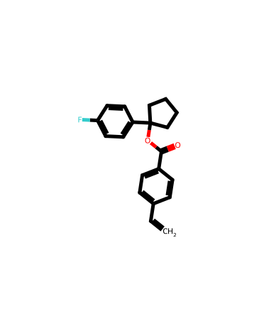 C=Cc1ccc(C(=O)OC2(c3ccc(F)cc3)CCCC2)cc1